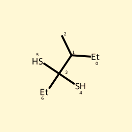 CCC(C)C(S)(S)CC